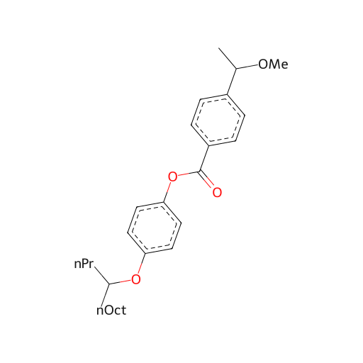 CCCCCCCCC(CCC)Oc1ccc(OC(=O)c2ccc(C(C)OC)cc2)cc1